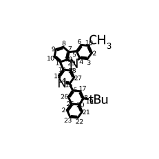 Cc1ccc2c(c1)c1cccc3c4cnc(-c5cc(C(C)(C)C)c6ccccc6c5)cc4n2c13